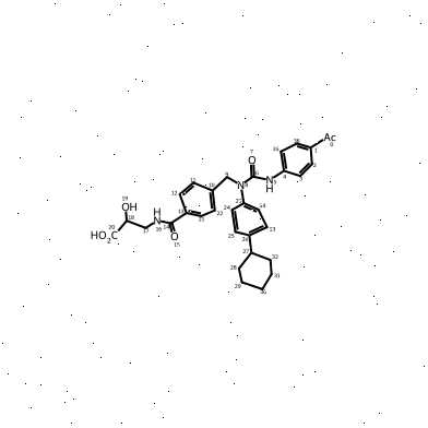 CC(=O)c1ccc(NC(=O)N(Cc2ccc(C(=O)NCC(O)C(=O)O)cc2)c2ccc(C3CCCCC3)cc2)cc1